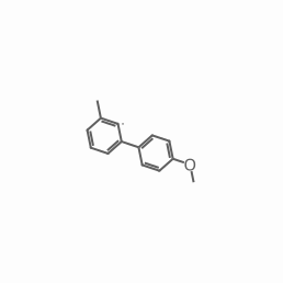 COc1ccc(-c2[c]c(C)ccc2)cc1